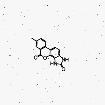 Cc1ccc2c(c1)c(=O)oc1c2ccc2[nH]c(=O)[nH]c21